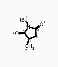 CC1CC(=O)N(C(C)(C)C)C1=O